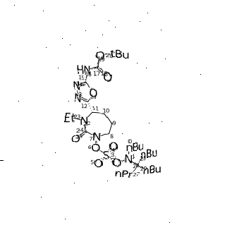 CCCCN(OS(=O)(=O)ON1CCC[C@@H](c2nnc(NC(=O)OC(C)(C)C)o2)N(CC)C1=O)C(CCC)(CCCC)CCCC